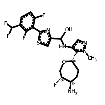 Cn1ncc(NC(O)c2csc(-c3c(F)ccc(C(F)F)c3F)n2)c1[C@@H]1CC[C@@H](N)[C@H](F)CO1